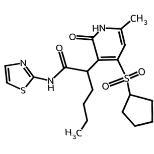 CCCCC(C(=O)Nc1nccs1)c1c(S(=O)(=O)C2CCCC2)cc(C)[nH]c1=O